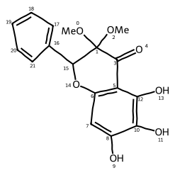 COC1(OC)C(=O)c2c(cc(O)c(O)c2O)OC1c1ccccc1